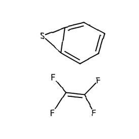 FC(F)=C(F)F.c1ccc2c(c1)S2